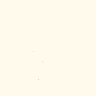 CCNCCNC(=O)c1c(C)[nH]c(/C=C2\C(=O)N(CN3CCCC3)c3ccccc32)c1C